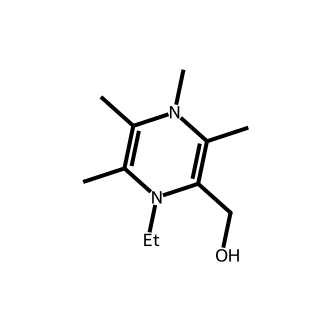 CCN1C(C)=C(C)N(C)C(C)=C1CO